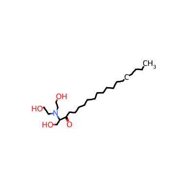 CCCCCCCCCCCCCCCCCC(=O)C(CO)N(CCO)CCO